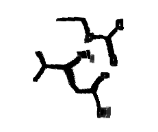 CC(C)C(N)CC(=O)O.CCOC(=O)Cl